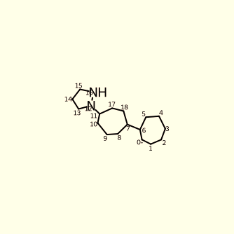 [CH]1CCCCCC1C1CCCC(N2CCCN2)CC1